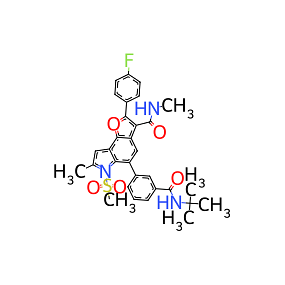 CNC(=O)c1c(-c2ccc(F)cc2)oc2c1cc(-c1cccc(C(=O)NC(C)(C)C)c1)c1c2cc(C)n1S(C)(=O)=O